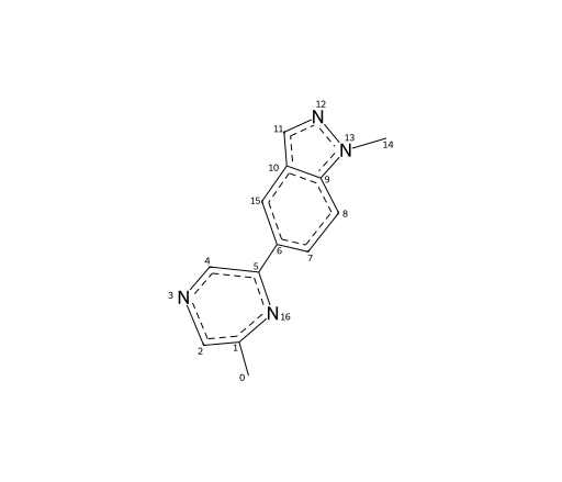 Cc1cncc(-c2ccc3c(cnn3C)c2)n1